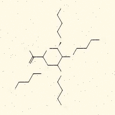 CCCCOC1C(OCCCC)[C@H](OCCCC)C(C(=O)O)O[C@H]1OCCCC